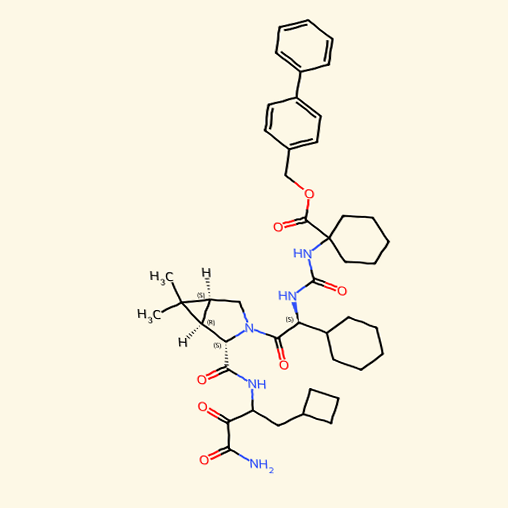 CC1(C)[C@@H]2[C@@H](C(=O)NC(CC3CCC3)C(=O)C(N)=O)N(C(=O)[C@@H](NC(=O)NC3(C(=O)OCc4ccc(-c5ccccc5)cc4)CCCCC3)C3CCCCC3)C[C@@H]21